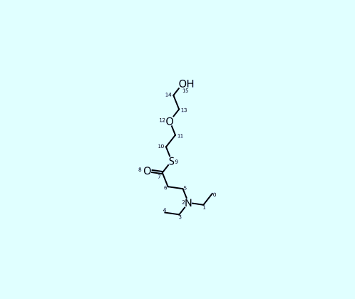 CCN(CC)CCC(=O)SCCOCCO